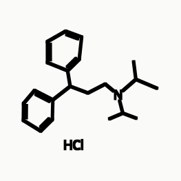 CC(C)N(CCC(c1ccccc1)c1ccccc1)C(C)C.Cl